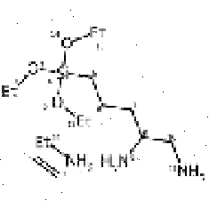 C=C.CCO[Si](CCCC(N)CN)(OCC)OCC.[CH2]CN